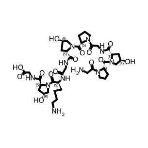 NCCCC[C@H](NC(=O)CNC(=O)[C@@H]1C[C@@H](O)CN1C(=O)[C@@H]1CCCN1C(=O)CNC(=O)[C@@H]1C[C@@H](O)CN1C(=O)[C@@H]1CCCN1C(=O)CN)C(=O)N1C[C@H](O)C[C@H]1C(=O)NCC(=O)O